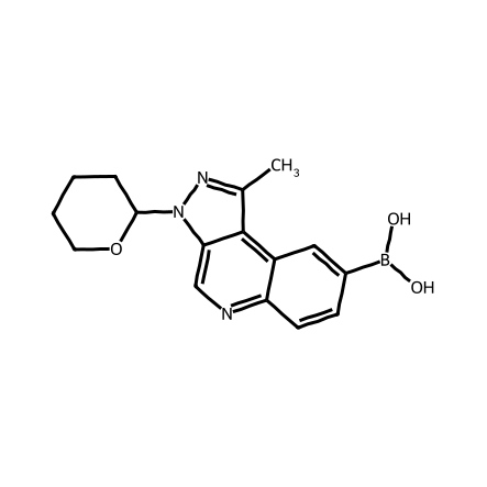 Cc1nn(C2CCCCO2)c2cnc3ccc(B(O)O)cc3c12